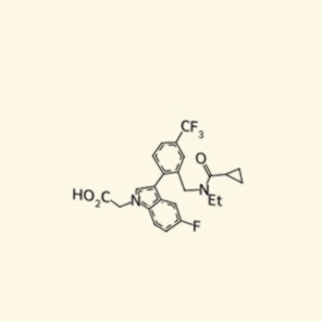 CCN(Cc1cc(C(F)(F)F)ccc1-c1cn(CC(=O)O)c2ccc(F)cc12)C(=O)C1CC1